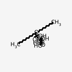 CCCCCCCCCCOC(CCCCCCCCCC)C(CO)(CO)COP(=O)(O)OP(=O)(O)O